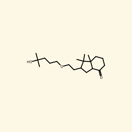 CC(C)(O)CCCOCCC1CC2C(=O)CCCC2(C)C1(C)C